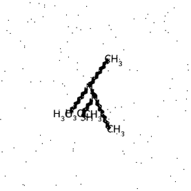 CCCCCCCCCCCN(CCCCCCCCCCC)CCCN(CCCCCCCCCCC)CCCCCC(C)(C)S